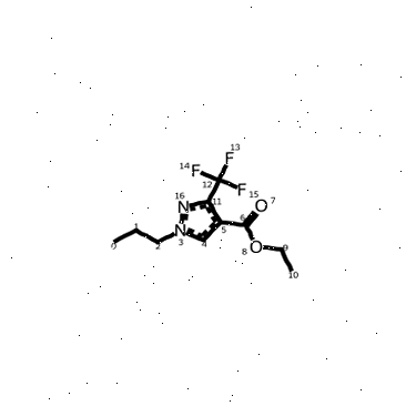 CCCn1cc(C(=O)OCC)c(C(F)(F)F)n1